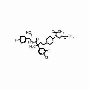 COCCN(C(C)=O)C1CCN(CCC(C)(C(=O)N[C@@H](CO)c2ccc(F)cc2)c2ccc(Cl)c(Cl)c2)CC1